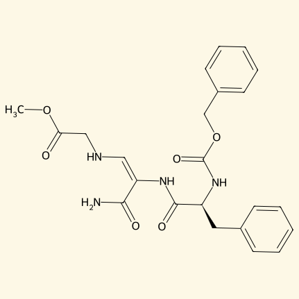 COC(=O)CN/C=C(/NC(=O)[C@H](Cc1ccccc1)NC(=O)OCc1ccccc1)C(N)=O